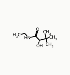 CCNC(=O)[C@H](O)C(C)(C)C